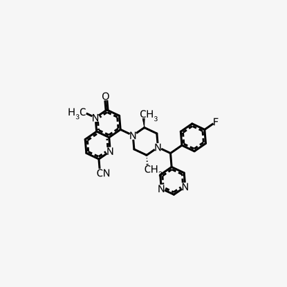 C[C@@H]1CN(c2cc(=O)n(C)c3ccc(C#N)nc23)[C@@H](C)CN1C(c1ccc(F)cc1)c1cncnc1